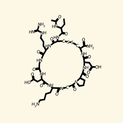 CCC(NC(C)=O)C(=O)NC1CSSCC(C(N)=O)NC(=O)C(CC(=O)O)NC(=O)C2CCCN2C(=O)CNC(=O)C(CCCCN)NC(=O)C(CC(=O)O)NC(=O)CNC(=O)C(CCCNC(=N)N)NC1=O